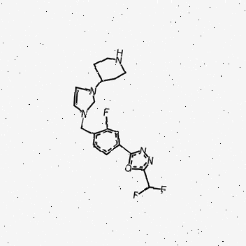 Fc1cc(-c2nnc(C(F)F)o2)ccc1CN1C=CN(C2CCNCC2)C1